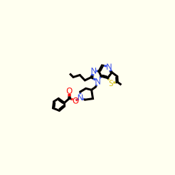 CCCCc1nc2cnc3cc(C)sc3c2n1CC1CCN(OC(=O)c2ccccc2)CC1